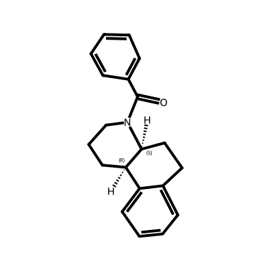 O=C(c1ccccc1)N1CCC[C@@H]2c3ccccc3CC[C@@H]21